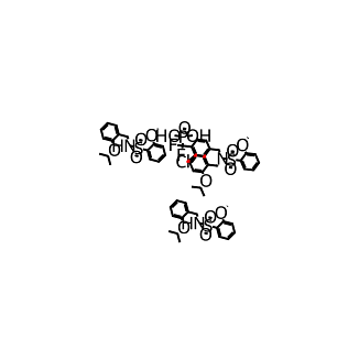 COc1ccccc1S(=O)(=O)N(Cc1ccc(C(F)(F)P(=O)(O)O)c(Cl)c1)Cc1ccccc1OC(C)C.COc1ccccc1S(=O)(=O)NCc1ccccc1OC(C)C.COc1ccccc1S(=O)(=O)NCc1ccccc1OC(C)C